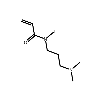 C=CC(=O)N(I)CCCN(C)C